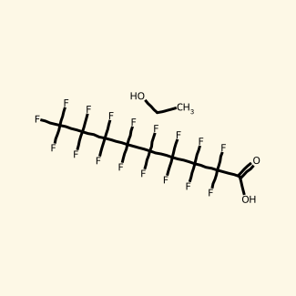 CCO.O=C(O)C(F)(F)C(F)(F)C(F)(F)C(F)(F)C(F)(F)C(F)(F)C(F)(F)C(F)(F)F